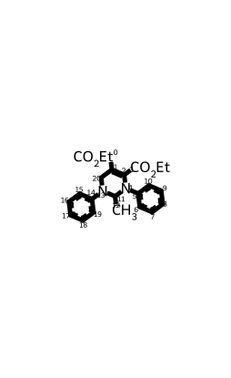 CCOC(=O)C1=C(C(=O)OCC)N(c2ccccc2)C(C)N(c2ccccc2)C1